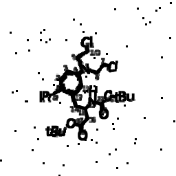 CC(C)c1ccc(N(CCCl)CCCl)cc1CC(CC(=O)OC(C)(C)C)NC(=O)OC(C)(C)C